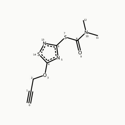 C#CCOc1nc(SC(=O)N(C)C)ns1